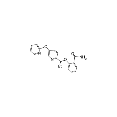 CCC(Oc1ccccc1C(N)=O)c1ccc(Oc2ccccn2)cn1